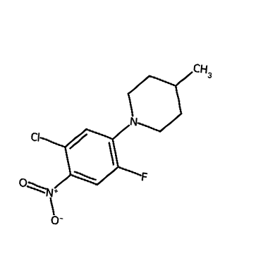 CC1CCN(c2cc(Cl)c([N+](=O)[O-])cc2F)CC1